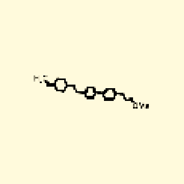 C=CC1CCC(CCc2ccc(-c3ccc(CCCOC)cc3)cc2)CC1